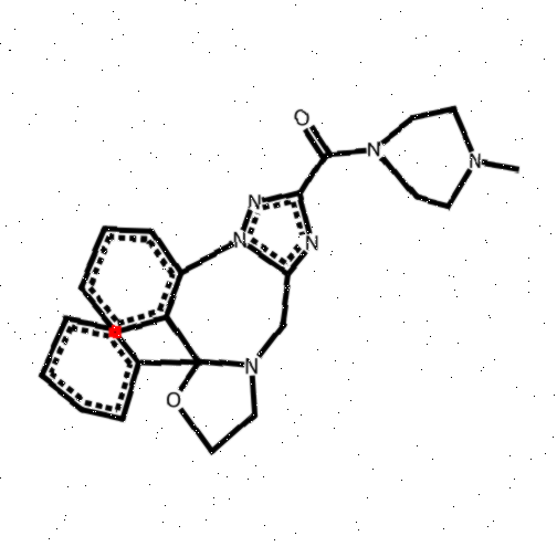 CN1CCN(C(=O)c2nc3n(n2)-c2ccccc2C2(c4ccccc4)OCCN2C3)CC1